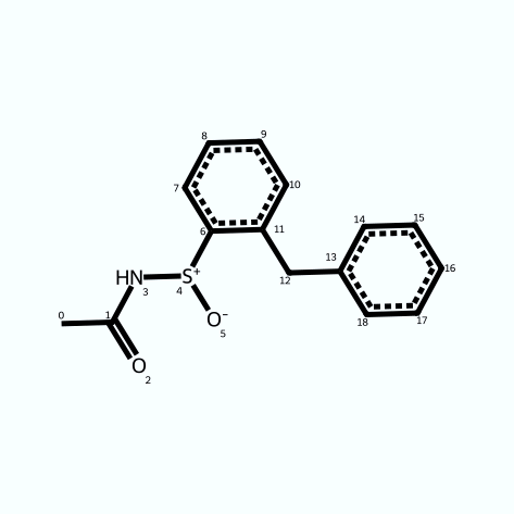 CC(=O)N[S+]([O-])c1ccccc1Cc1ccccc1